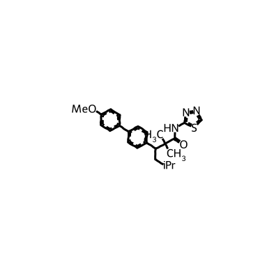 COc1ccc(-c2ccc(C(CC(C)C)C(C)(C)C(=O)Nc3nncs3)cc2)cc1